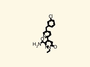 CCn1nc(C(N)=O)c(-c2ccc(Cc3cccc(Cl)c3)cn2)cc1=O